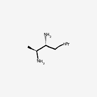 CCCC[C@@H](N)[C@H](C)N